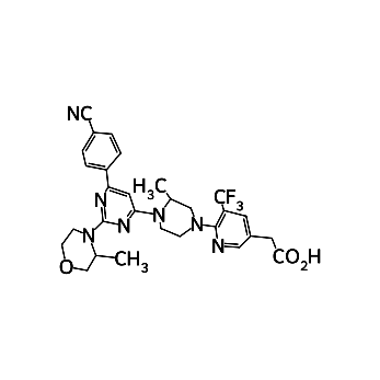 CC1CN(c2ncc(CC(=O)O)cc2C(F)(F)F)CCN1c1cc(-c2ccc(C#N)cc2)nc(N2CCOCC2C)n1